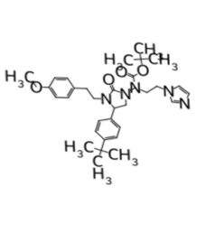 COc1ccc(CCN2C(=O)N(N(CCn3ccnc3)C(=O)OC(C)(C)C)CC2c2ccc(C(C)(C)C)cc2)cc1